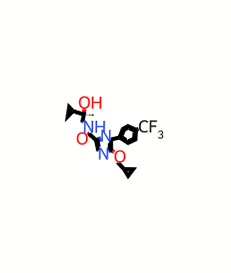 C[C@](O)(CNC(=O)c1cnc(OCC2CC2)c(-c2ccc(C(F)(F)F)cc2)n1)C1CC1